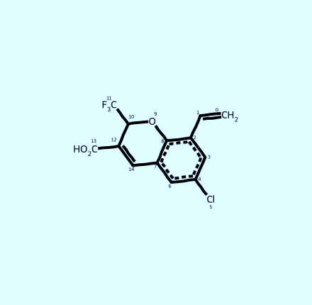 C=Cc1cc(Cl)cc2c1OC(C(F)(F)F)C(C(=O)O)=C2